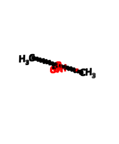 CCCCCCCCCCCCCCCCOC(CCCCCCCCCCCCCCCC)C(O)CO